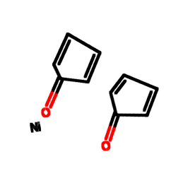 O=C1C=CC=C1.O=C1C=CC=C1.[Ni]